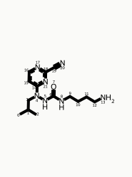 CC(C)CN(NC(=O)NCCCCN)c1ccnc(C#N)n1